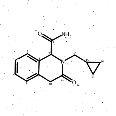 NC(=O)C1c2ccccc2CC(=O)N1CC1CC1